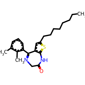 CCCCCCCCc1cc2c(s1)NC(=O)CN=C2c1cccc(C)c1C